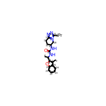 Cc1c(C(C)NC(=O)NC2CCc3nnc(C(C)C)n3C2)oc2ccccc12